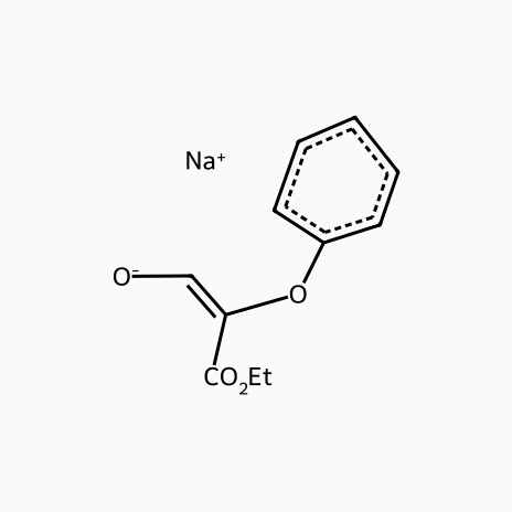 CCOC(=O)C(=C[O-])Oc1ccccc1.[Na+]